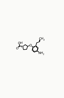 C=CCc1cc(N)ccc1OC1CCN(C(=O)O)C1